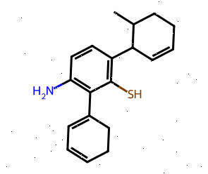 CC1CCC=CC1c1ccc(N)c(C2=CC=CCC2)c1S